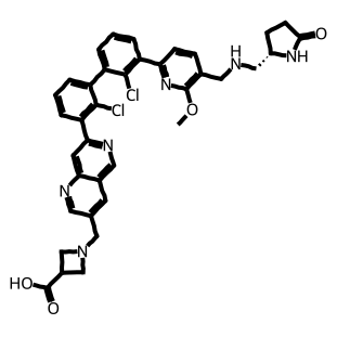 COc1nc(-c2cccc(-c3cccc(-c4cc5ncc(CN6CC(C(=O)O)C6)cc5cn4)c3Cl)c2Cl)ccc1CNC[C@@H]1CCC(=O)N1